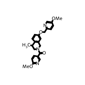 COc1ccc(COc2ccc3c(c2)CN(C(=O)c2ccc(OC)nc2)CC3C)nc1